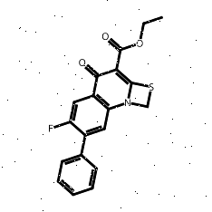 CCOC(=O)c1c2n(c3cc(-c4ccccc4)c(F)cc3c1=O)CS2